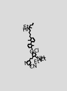 C=CCC(C)(CC)NCCCCc1cccc(-c2cccc(COc3cc(CCc4cncc(C#N)c4)c(CNC(C)(CC)CC)cc3Cl)c2C)c1C